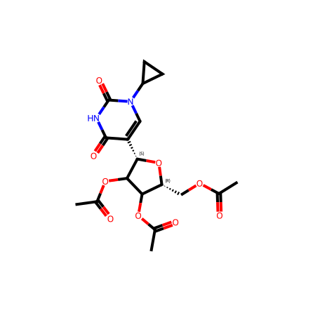 CC(=O)OC[C@H]1O[C@@H](c2cn(C3CC3)c(=O)[nH]c2=O)C(OC(C)=O)C1OC(C)=O